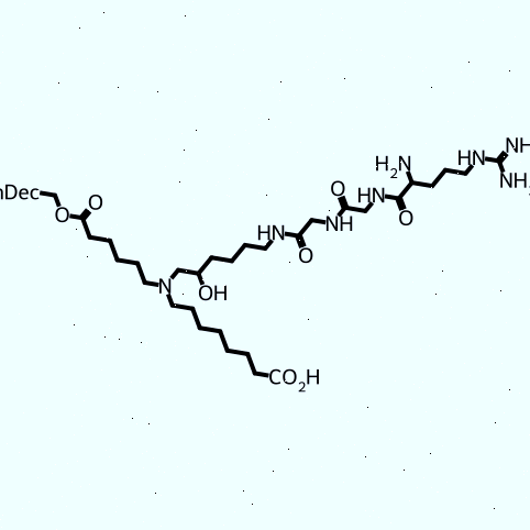 CCCCCCCCCCCOC(=O)CCCCCN(CCCCCCCC(=O)O)CC(O)CCCCNC(=O)CNC(=O)CNC(=O)C(N)CCCNC(=N)N